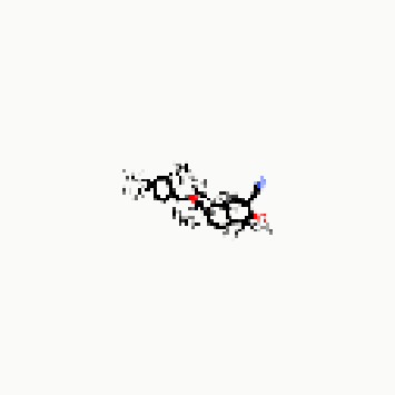 CC[C@]1(CCC(C)(C)[C@]2(C)CCC3C(C)(C)C(=O)C(C#N)=C[C@]3(C)[C@H]2CC(C)=O)CCC(C)(C)CC1C